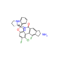 CNC(=O)c1cc2c(c(F)c1-c1c(Cl)c(F)cc3c1C[C@](c1ccccc1)([C@@H]1CCCN1)O3)C[C@@H](N)C2